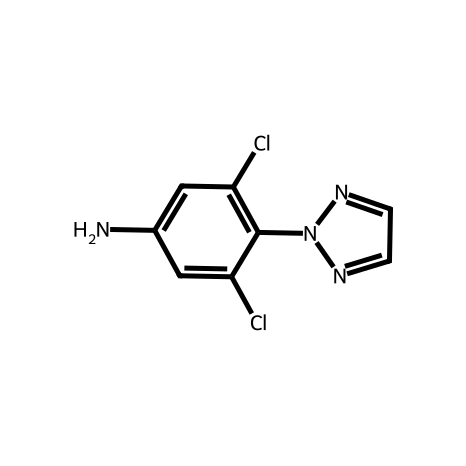 Nc1cc(Cl)c(-n2nccn2)c(Cl)c1